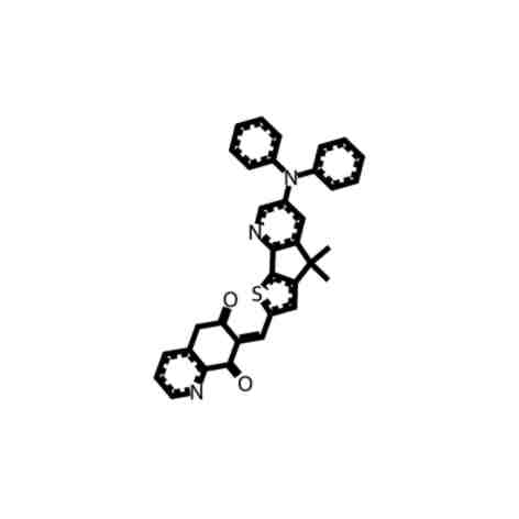 CC1(C)c2cc(N(c3ccccc3)c3ccccc3)cnc2-c2sc(/C=C3\C(=O)Cc4cccnc4C3=O)cc21